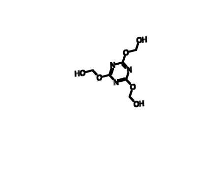 OCOc1nc(OCO)nc(OCO)n1